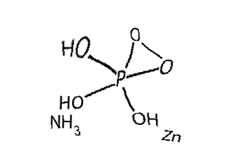 N.OP1(O)(O)OO1.[Zn]